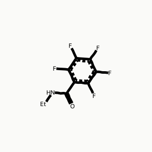 CCNC(=O)c1c(F)c(F)c(F)c(F)c1F